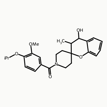 COc1cc(C(=O)N2CCC3(CC2)Oc2ccccc2C(O)C3C)ccc1OC(C)C